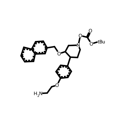 CC(C)(C)OC(=O)ON1CCC(c2ccc(OCCN)cc2)C(OCc2ccc3ccccc3c2)C1